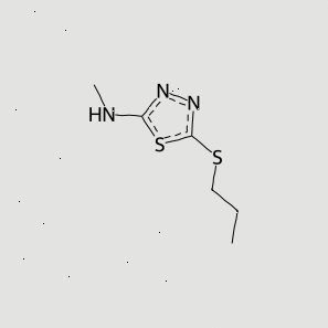 CCCSc1nnc(NC)s1